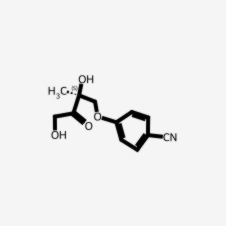 C[C@](O)(COc1ccc(C#N)cc1)C(=O)CO